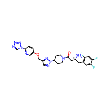 N[C@H](CC(=O)N1CCC(n2ncc(COc3ccc(-n4cnnn4)nc3)n2)CC1)Cc1cc(F)c(F)cc1F